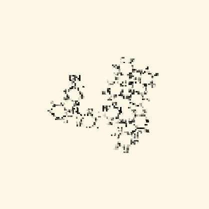 N#Cc1ccc2c(c1)c1ccccc1n2-c1cccc(-c2cc(-n3c4ccccc4c4ccccc43)nc(-c3cccc(C(c4ccccc4)(c4ccccc4)c4ccccc4)c3)n2)c1